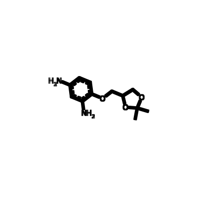 CC1(C)OCC(COc2ccc(N)cc2N)O1